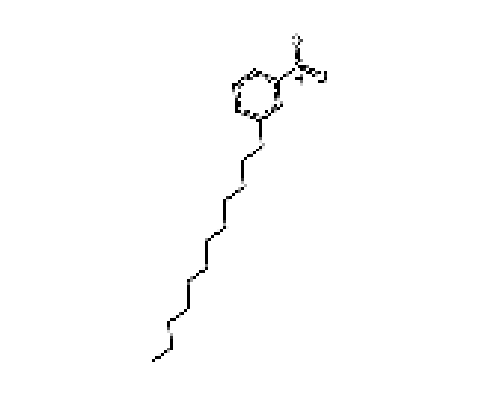 CCCCCCCCCCCCc1cccc([SH](=O)=O)c1